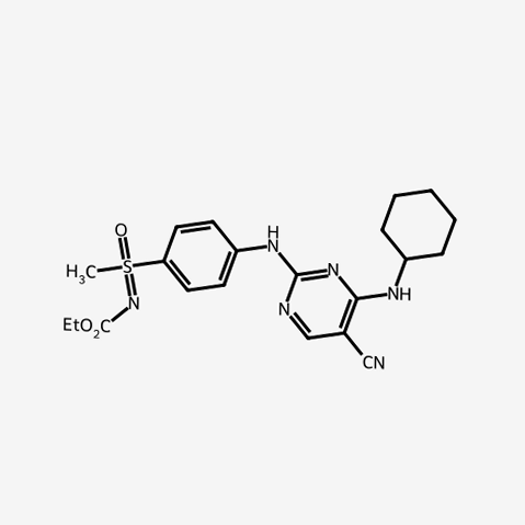 CCOC(=O)N=S(C)(=O)c1ccc(Nc2ncc(C#N)c(NC3CCCCC3)n2)cc1